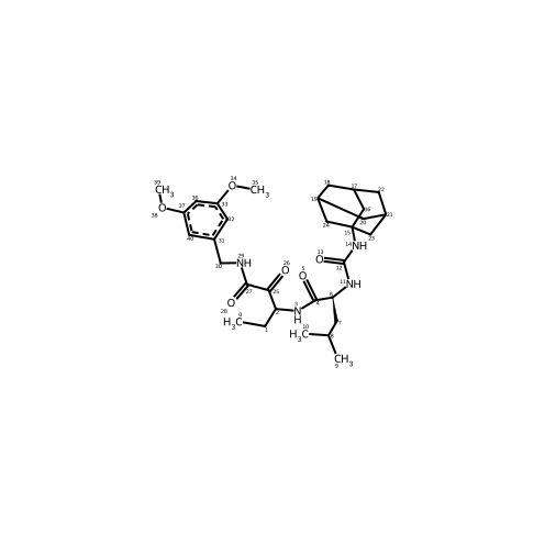 CCC(NC(=O)[C@H](CC(C)C)NC(=O)NC12CC3CC(CC(C3)C1)C2)C(=O)C(=O)NCc1cc(OC)cc(OC)c1